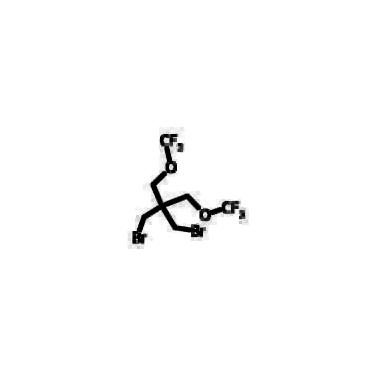 FC(F)(F)OCC(CBr)(CBr)COC(F)(F)F